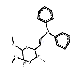 COC1OC(/C=C/P(c2ccccc2)c2ccccc2)[C@H](C)O[C@@]1(C)OC